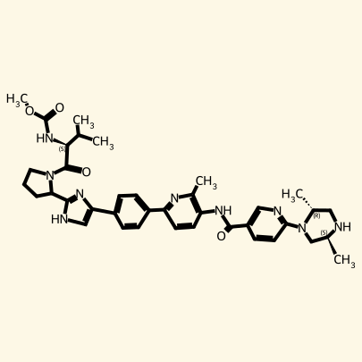 COC(=O)N[C@H](C(=O)N1CCCC1c1nc(-c2ccc(-c3ccc(NC(=O)c4ccc(N5C[C@H](C)NC[C@H]5C)nc4)c(C)n3)cc2)c[nH]1)C(C)C